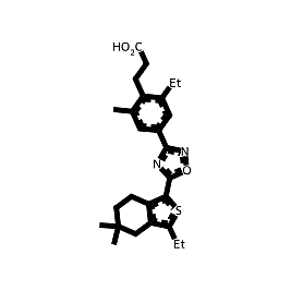 CCc1cc(-c2noc(-c3sc(CC)c4c3CCC(C)(C)C4)n2)cc(C)c1CCC(=O)O